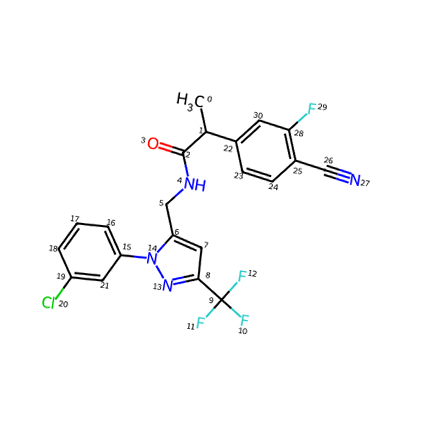 CC(C(=O)NCc1cc(C(F)(F)F)nn1-c1cccc(Cl)c1)c1ccc(C#N)c(F)c1